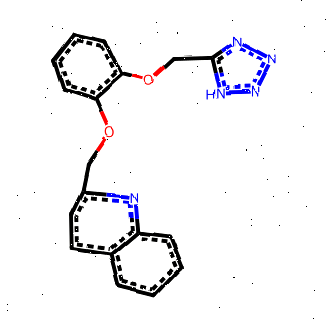 c1ccc(OCc2nnn[nH]2)c(OCc2ccc3ccccc3n2)c1